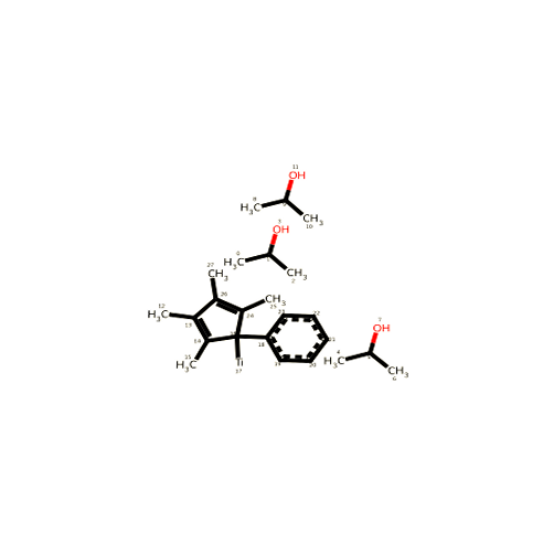 CC(C)O.CC(C)O.CC(C)O.CC1=C(C)[C]([Ti])(c2ccccc2)C(C)=C1C